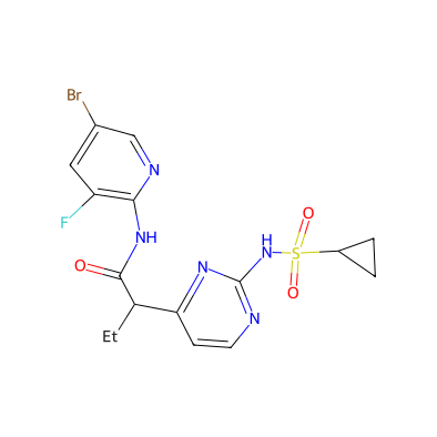 CCC(C(=O)Nc1ncc(Br)cc1F)c1ccnc(NS(=O)(=O)C2CC2)n1